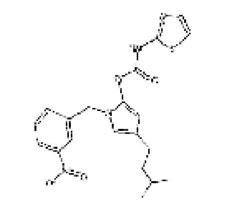 CC(C)CCc1cc(OC(=O)Nc2nccs2)n(Cc2cccc([N+](=O)[O-])c2)c1